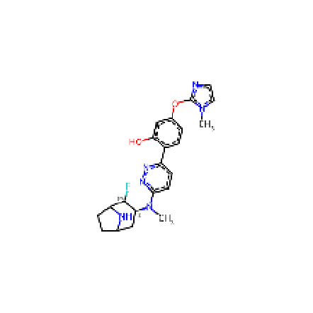 CN(c1ccc(-c2ccc(Oc3nccn3C)cc2O)nn1)[C@H]1CC2CCC(N2)[C@H]1F